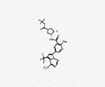 COc1ncc(-c2cc(C(F)(F)F)c3c(N)ncnn23)cc1C(=O)N[C@@H]1CN(C(=O)CC(C)(C)C)C[C@@H]1F